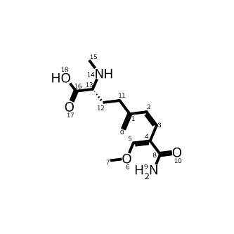 C=C(/C=C\C(=C\OC)C(N)=O)CC[C@@H](NC)C(=O)O